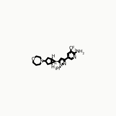 CC(C)n1nc(-c2cnc(N)c(C(F)(F)F)c2)cc1[C@H]1[C@@H]2CC(N3CCCOCC3)C[C@@H]21